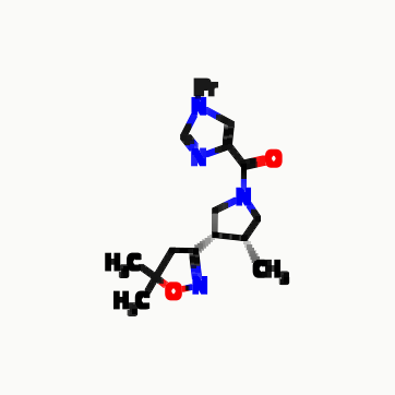 CC(C)n1cnc(C(=O)N2C[C@H](C)[C@H](C3=NOC(C)(C)C3)C2)c1